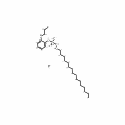 CCCCCCCCCCCCCCCCOOP(=O)([O-])Oc1ccccc1OCCC.[K+]